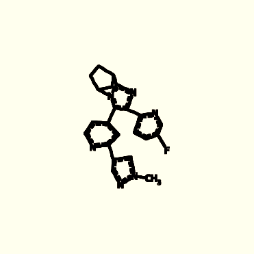 Cn1cc(-c2cc(-c3c(-c4ccc(F)cn4)nc4n3C3CCC4C3)ccn2)cn1